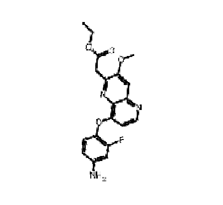 CCOC(=O)Cc1nc2c(Oc3ccc(N)cc3F)ccnc2cc1OC